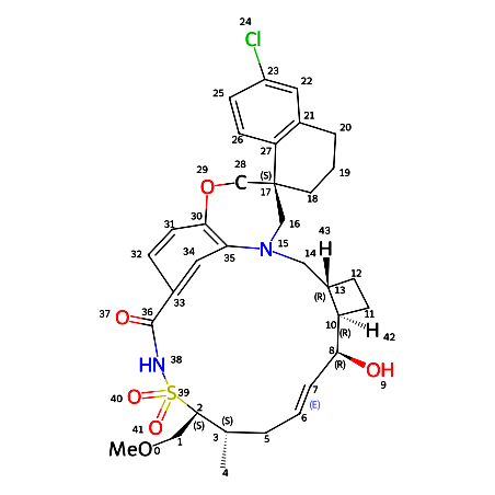 COC[C@@H]1[C@@H](C)C/C=C/[C@H](O)[C@@H]2CC[C@H]2CN2C[C@@]3(CCCc4cc(Cl)ccc43)COc3ccc(cc32)C(=O)NS1(=O)=O